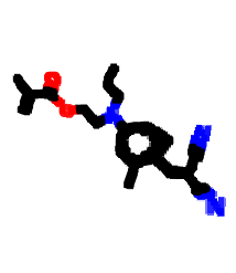 C=C(C)C(=O)OCCN(CCC)c1ccc(C=C(C#N)C#N)c(C)c1